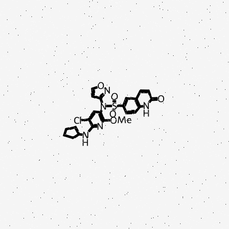 COc1nc(NC2CCCC2)c(Cl)cc1N(c1ccon1)S(=O)(=O)c1ccc2[nH]c(=O)ccc2c1